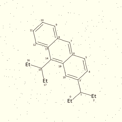 CCC(CC)c1ccc2cc3ccccc3c(C(CC)CC)c2c1